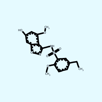 CCc1ccc(OC)c(S(=O)(=O)Nc2noc3cc(O)cc(OC)c23)c1